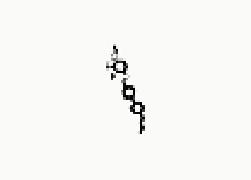 CCCCC1CCC(C2CCC(COC3CCC(OCC)C(F)C3F)CC2)CC1